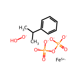 CC(C)c1ccccc1.O=P([O-])([O-])OP(=O)([O-])[O-].[Fe+5].[O-]O